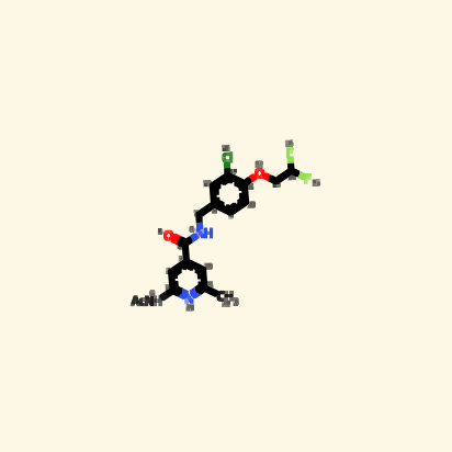 CC(=O)Nc1cc(C(=O)NCc2ccc(OCC(F)F)c(Cl)c2)cc(C)n1